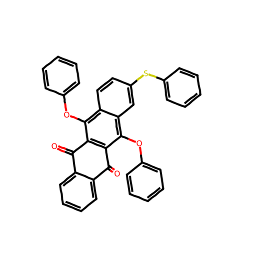 O=C1c2ccccc2C(=O)c2c1c(Oc1ccccc1)c1ccc(Sc3ccccc3)cc1c2Oc1ccccc1